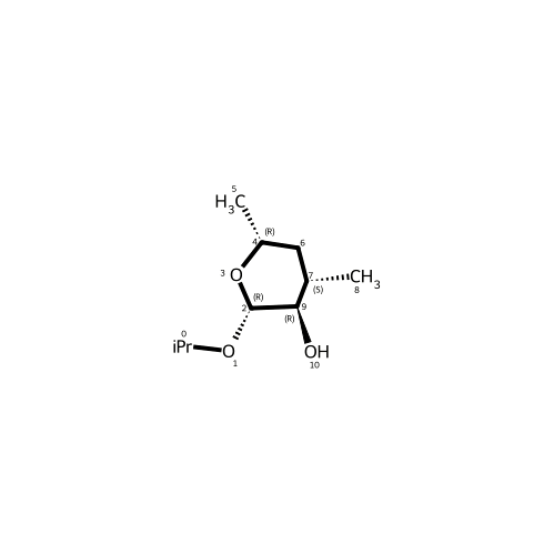 CC(C)O[C@@H]1O[C@H](C)C[C@H](C)[C@H]1O